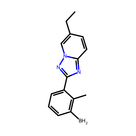 Bc1cccc(-c2nc3ccc(CC)cn3n2)c1C